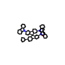 c1ccc(-c2ccc3c(c2)C2(c4ccc(-n5c6ccccc6c6ccccc65)cc4-c4ccc(-n5c6ccccc6c6ccccc65)cc42)c2cc(-n4c5ccccc5c5ccccc54)ccc2-3)cc1